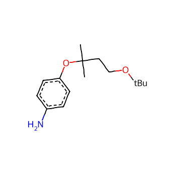 CC(C)(C)OCCC(C)(C)Oc1ccc(N)cc1